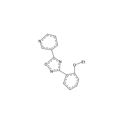 CCOc1ccccc1-c1noc(-c2cccnc2)n1